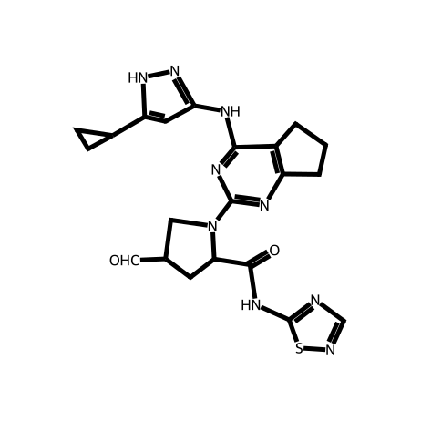 O=CC1CC(C(=O)Nc2ncns2)N(c2nc3c(c(Nc4cc(C5CC5)[nH]n4)n2)CCC3)C1